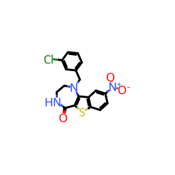 O=C1NCCN(Cc2cccc(Cl)c2)c2c1sc1ccc([N+](=O)[O-])cc21